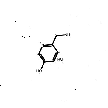 Cl.NCc1ccc(O)cn1